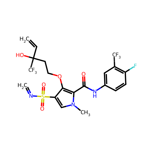 C=CC(O)(CCOc1c(S(=O)(=O)N=C)cn(C)c1C(=O)Nc1ccc(F)c(C(F)(F)F)c1)C(F)(F)F